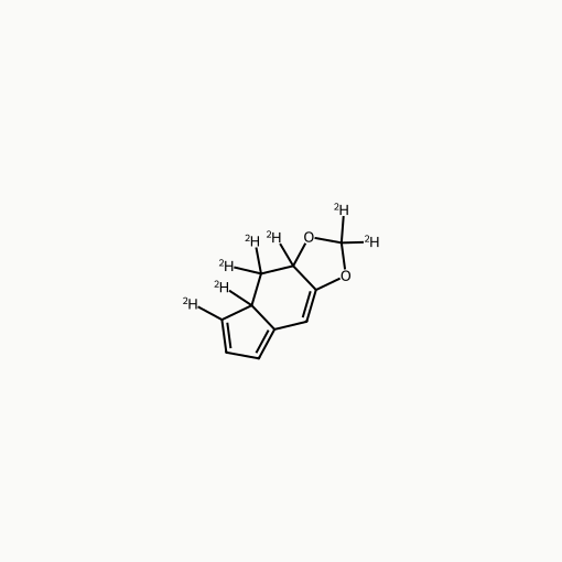 [2H]C1=CC=C2C=C3OC([2H])([2H])OC3([2H])C([2H])([2H])C12[2H]